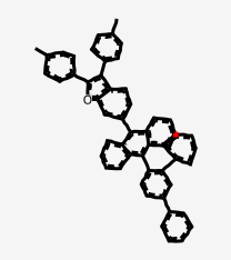 Cc1ccc(-c2oc3cc(-c4c5ccccc5c(-c5ccc(-c6ccccc6)cc5-c5ccccc5)c5ccccc45)ccc3c2-c2ccc(C)cc2)cc1